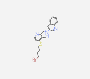 Cc1c(SCCCCBr)ccnc1CNc1cnc2ccccc2c1